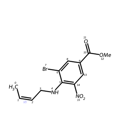 C/C=C\CNc1c(Br)cc(C(=O)OC)cc1[N+](=O)[O-]